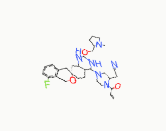 C=CC(=O)N1CCN(C2NC(OCC3CCCN3C)NC3C[C@@]4(CCC32)Cc2cccc(F)c2CO4)CC1CC#N